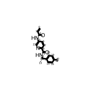 C=CC(=O)Nc1ccc(C(=O)N[C@@H](C)c2ccc(F)cc2)nc1